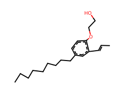 C/C=C/c1cc(CCCCCCCCC)ccc1OCCO